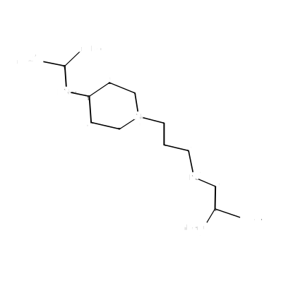 CCCCCCC(CCCCC)CNCCCN1CCC(NC(CCCCC)CCCCCC)CC1